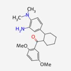 COc1ccc(OC)c(C(=O)C2CCCCC2c2ccc(N(C)C)c(N)c2)c1